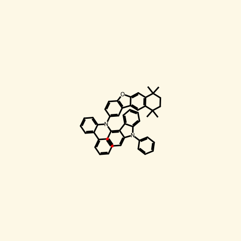 CC1(C)CCC(C)(C)c2cc3c(cc21)oc1ccc(N(c2ccccc2-c2ccccc2)c2cccc4c2c2ccccc2n4-c2ccccc2)cc13